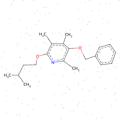 Cc1nc(OCCC(C)C)c(C)c(C)c1OCc1ccccc1